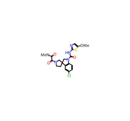 CNC(=O)C(=O)N1CCC2(C1)CN(C(=O)Nc1ncc(OC)s1)c1ccc(Cl)cc12